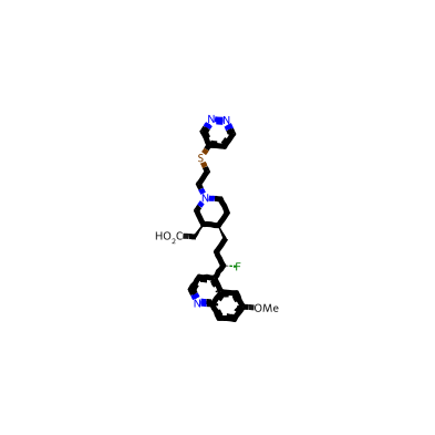 COc1ccc2nccc([C@@H](F)CC[C@@H]3CCN(CCSc4ccnnc4)C[C@@H]3CC(=O)O)c2c1